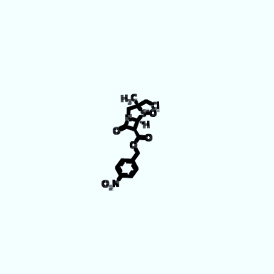 C[C@]1(CCl)CN2C(=O)[C@H](C(=O)OCc3ccc([N+](=O)[O-])cc3)[C@@H]2[S+]1[O-]